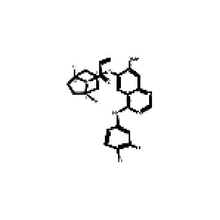 C=CC(=O)N1[C@@H]2CC[C@H]1C[C@H](Oc1cc3c(Nc4ccc(Cl)c(Cl)c4)ncnc3cc1OC)C2